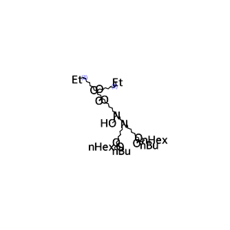 CC/C=C\CCCCOC(CCC(=O)OCCCCCCN(CCO)CCCN(CCCCCCOC(=O)C(CCCC)CCCCCC)CCCCCCOC(=O)C(CCCC)CCCCCC)OCCCC/C=C\CC